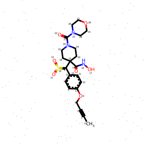 CC#CCOc1ccc(C(=S(=O)=O)C2(C(=O)NO)CCN(C(=O)N3CCOCC3)CC2)cc1